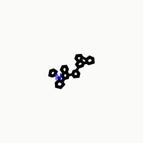 c1ccc(-n2c3ccccc3c3cc(-c4cccc(-c5cc6c7c(cccc7c5)-c5ccccc5-6)c4)c4ccccc4c32)cc1